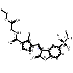 CCOC(=O)CNC(=O)c1c[nH]c(/C=C2\C(=O)Nc3ccc(S(=O)(=O)NC)cc32)c1C